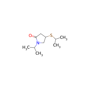 CC(C)SC1CC(=O)N(C(C)C)C1